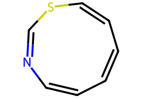 c1cccscncc1